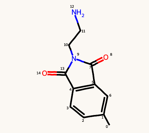 Cc1ccc2c(c1)C(=O)N(CCN)C2=O